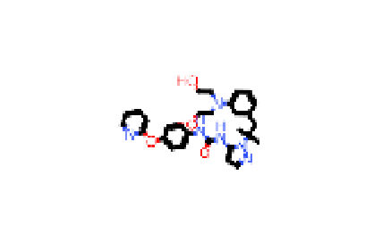 CC(C)(Cc1cccc(N(CCO)CCO)c1)n1nccc1NC(=O)Nc1ccc(Oc2ccccn2)cc1